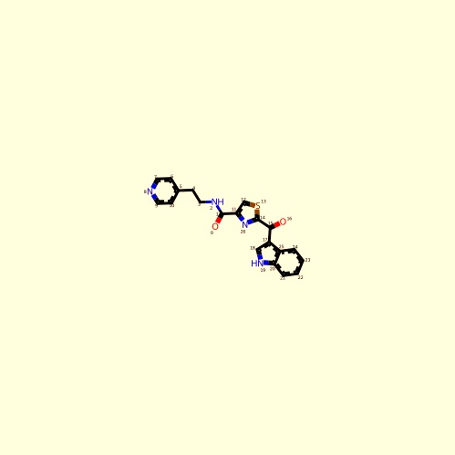 O=C(NCCc1ccncc1)c1csc(C(=O)c2c[nH]c3ccccc23)n1